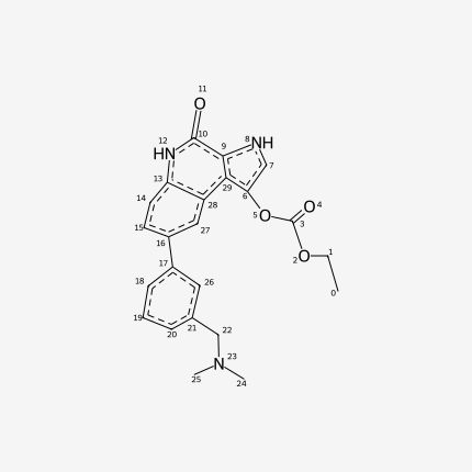 CCOC(=O)Oc1c[nH]c2c(=O)[nH]c3ccc(-c4cccc(CN(C)C)c4)cc3c12